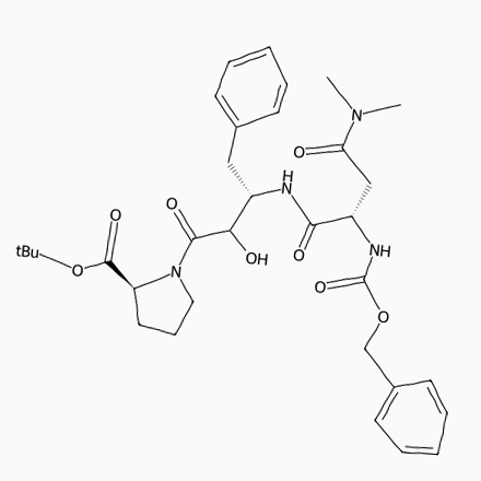 CN(C)C(=O)C[C@H](NC(=O)OCc1ccccc1)C(=O)N[C@@H](Cc1ccccc1)C(O)C(=O)N1CCC[C@H]1C(=O)OC(C)(C)C